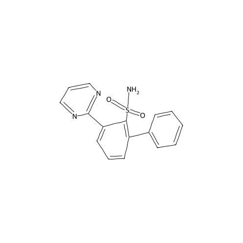 NS(=O)(=O)c1c(-c2ccccc2)cccc1-c1ncccn1